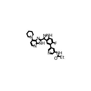 CCC(=O)Nc1cncc(-c2cc3c(-c4nc5c(N6CCCCC6)ccnc5[nH]4)n[nH]c3cc2F)c1